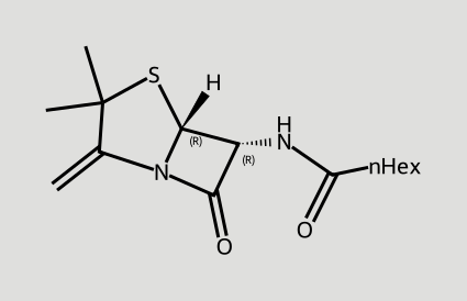 C=C1N2C(=O)[C@@H](NC(=O)CCCCCC)[C@H]2SC1(C)C